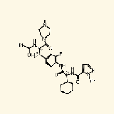 CCC(O)N[C@@H](C(=O)N1CCN(C)CC1)[C@@H](C)c1ccc(NC(=O)[C@@H](NC(=O)c2ccnn2C(C)C)C2CCCCC2)c(F)c1